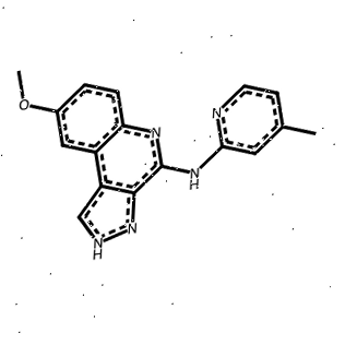 COc1ccc2nc(Nc3cc(C)ccn3)c3n[nH]cc3c2c1